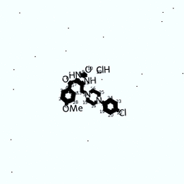 COc1ccc(C(=O)c2[nH]c(=O)[nH]c2CN2CCN(c3ccc(Cl)cc3)CC2)cc1.Cl